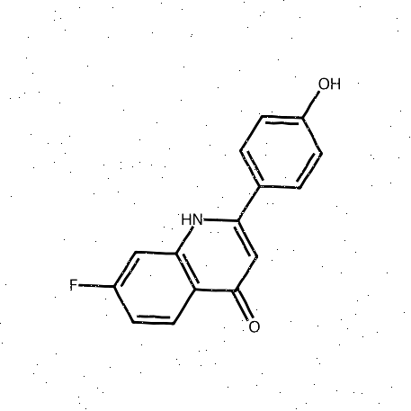 O=c1cc(-c2ccc(O)cc2)[nH]c2cc(F)ccc12